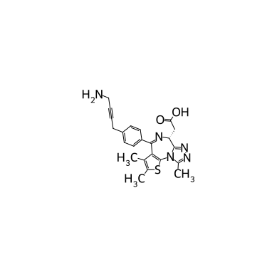 Cc1sc2c(c1C)C(c1ccc(CC#CCN)cc1)=N[C@H](CC(=O)O)c1nnc(C)n1-2